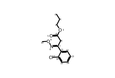 CCCOC(=O)CC(=NOC)c1c[c]ccc1Cl